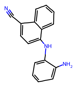 N#Cc1ccc(Nc2ccccc2N)c2ccccc12